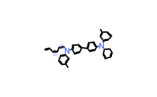 C=C/C=C\C=C/N(c1ccc(-c2ccc(N(c3cccc(C)c3)C3C=CC=CC3)cc2)cc1)c1cccc(C)c1